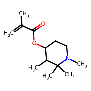 C=C(C)C(=O)OC1CCN(C)C(C)(C)C1C